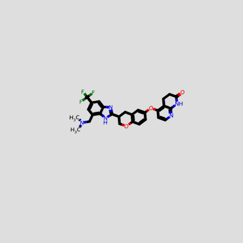 CN(C)Cc1cc(C(F)(F)F)cc2nc(C3COc4ccc(Oc5ccnc6c5CCC(=O)N6)cc4C3)[nH]c12